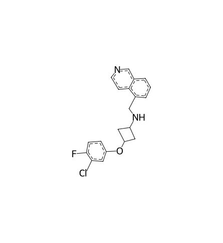 Fc1ccc(OC2CC(NCc3cccc4cnccc34)C2)cc1Cl